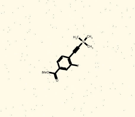 COC(=O)c1ccc(C#C[Si](C)(C)C)c(F)c1